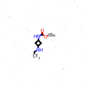 CC(C)(C)OC(=O)NC1CC(NCC(F)(F)F)C1